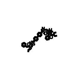 CCCN(Cc1ncc(-c2ccc(-c3ccc(-c4cnc(CN(CCC)C(=O)[C@@H](NC(=O)C(CC)CC)c5ccccc5)s4)cc3)cc2)s1)C(=O)Cc1ccccc1